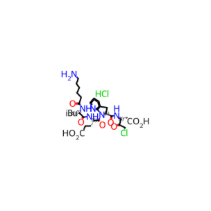 CC[C@H](C)[C@H](NC(=O)CCCCCN)C(=O)N[C@@H](CCC(=O)O)C(=O)N1c2ncccc2C[C@H]1C(=O)N[C@H](CC(=O)O)C(=O)CCl.Cl